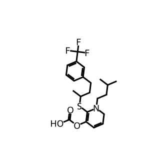 CC(C)CCN1CC=CC(OC(=O)O)=C1SC(C)CCc1cccc(C(F)(F)F)c1